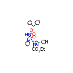 CCOC(=O)Cn1nc(-c2ccncc2)cc1NC(=O)[C@H](Cc1ccccc1)NC(=O)OCC1c2ccccc2-c2ccccc21